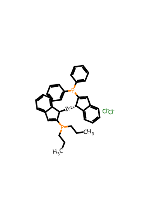 CCCP(CCC)C1=Cc2ccccc2[CH]1[Zr+2][CH]1C(P(c2ccccc2)c2ccccc2)=Cc2ccccc21.[Cl-].[Cl-]